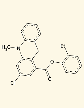 CCc1ccccc1OC(=O)c1cc(Cl)cc2c1Cc1ccccc1N2C